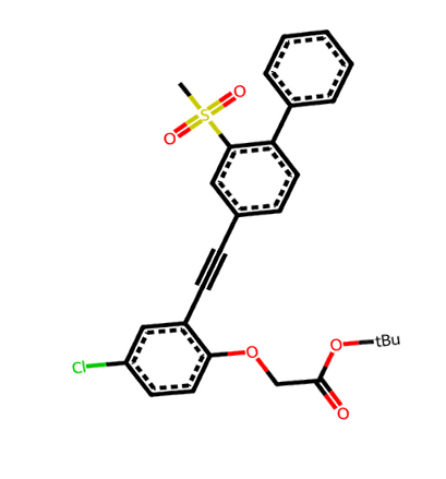 CC(C)(C)OC(=O)COc1ccc(Cl)cc1C#Cc1ccc(-c2ccccc2)c(S(C)(=O)=O)c1